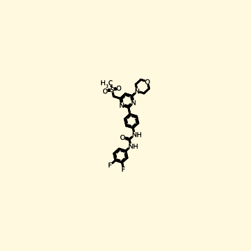 CS(=O)(=O)Cc1cc(N2CCOCC2)nc(-c2ccc(NC(=O)Nc3ccc(F)c(F)c3)cc2)n1